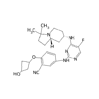 CC1(C)CC[C@H]2C[C@@H](Nc3nc(Nc4ccc(OC5CC(O)C5)c(C#N)c4)ncc3F)CCN21